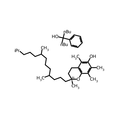 CCCCC(O)(CCCC)c1ccccc1.Cc1c(C)c2c(c(C)c1O)CC[C@@](C)(CCCC(C)CCCC(C)CCCC(C)C)O2